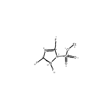 CCOS(=O)(=O)N1C(F)=NC(F)N1F